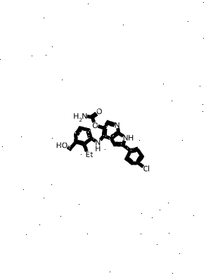 CCc1c(CO)cccc1Nc1c(OC(N)=O)cnc2[nH]c(-c3ccc(Cl)cc3)cc12